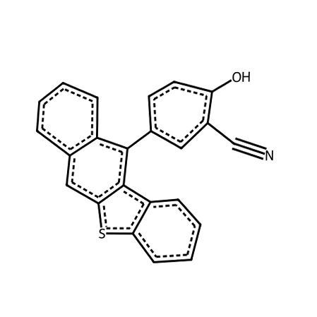 N#Cc1cc(-c2c3ccccc3cc3sc4ccccc4c23)ccc1O